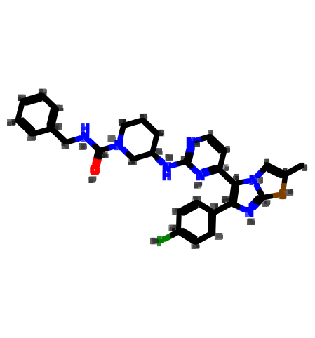 Cc1cn2c(-c3ccnc(N[C@@H]4CCCN(C(=O)NCc5ccccc5)C4)n3)c(-c3ccc(F)cc3)nc2s1